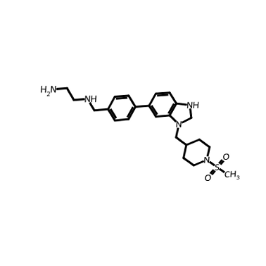 CS(=O)(=O)N1CCC(CN2CNc3ccc(-c4ccc(CNCCN)cc4)cc32)CC1